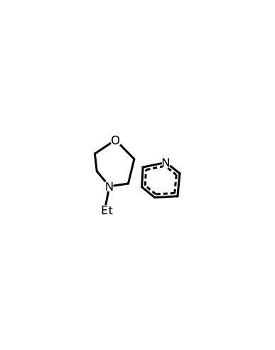 CCN1CCOCC1.c1ccncc1